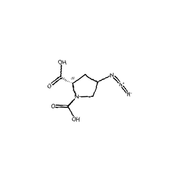 [N-]=[N+]=NC1C[C@@H](C(=O)O)N(C(=O)O)C1